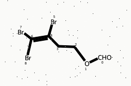 O=[C]OCCC(Br)=C(Br)Br